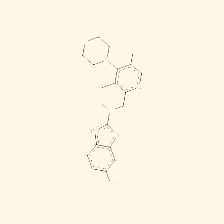 COc1ccc2[nH]c([S+]([O-])Cc3ncc(F)c(N4CCOCC4)c3C)nc2c1